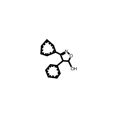 OC1ON=C(c2ccccc2)C1c1ccccc1